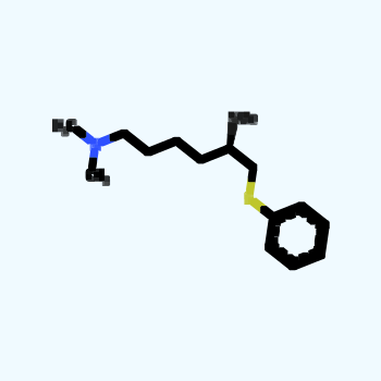 CN[C@H](CCCCN(C)C)CSc1ccccc1